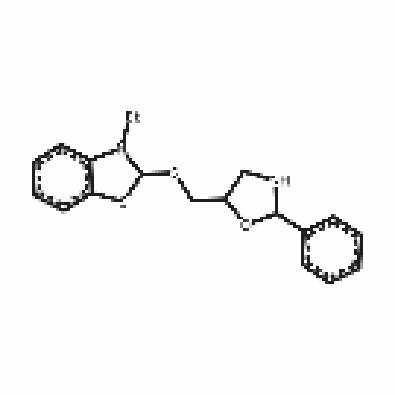 CCN1c2ccccc2SC1SCC1CNC(c2ccccc2)O1